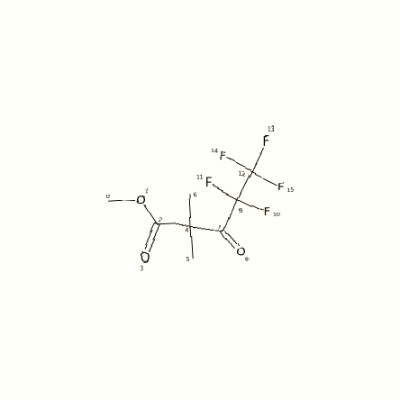 COC(=O)C(C)(C)C(=O)C(F)(F)C(F)(F)F